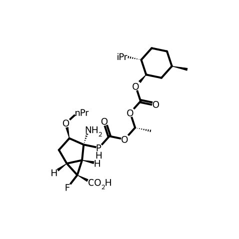 CCCO[C@@H]1C[C@@H]2[C@H]([C@]1(N)PC(=O)O[C@@H](C)OC(=O)O[C@@H]1C[C@H](C)CC[C@H]1C(C)C)[C@@]2(F)C(=O)O